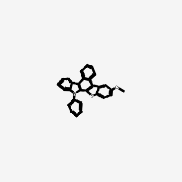 COc1ccc2sc3c(c2c1)c1ccccc1c1c2ccccc2n(-c2ccccc2)c31